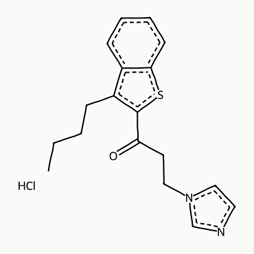 CCCCc1c(C(=O)CCn2ccnc2)sc2ccccc12.Cl